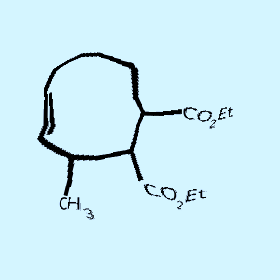 CCOC(=O)C1CCC=CC(C)C1C(=O)OCC